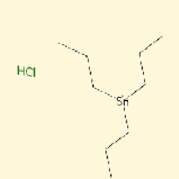 CC[CH2][Sn]([CH2]CC)[CH2]CC.Cl